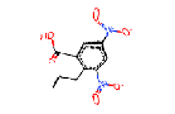 CCCc1c(C(=O)O)cc([N+](=O)[O-])cc1[N+](=O)[O-]